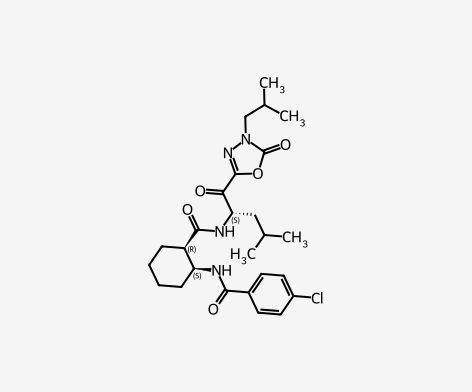 CC(C)C[C@H](NC(=O)[C@@H]1CCCC[C@@H]1NC(=O)c1ccc(Cl)cc1)C(=O)c1nn(CC(C)C)c(=O)o1